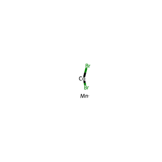 [Br][Co][Br].[Mn]